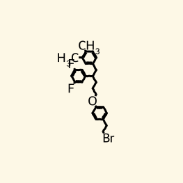 Cc1ccc(CC(CCCOc2ccc(CCBr)cc2)c2cc(F)cc(F)c2)cc1C